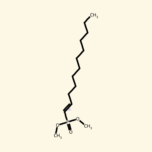 CCCCCCCCCC/C=C/P(=O)(OC)OC